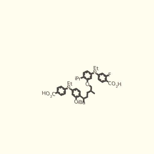 CCN(c1ccc(C(=O)O)c(F)c1)c1ccc(C(C)C)c(OCC(C)CCC(C)c2ccc(N(CC)c3ccc(C(=O)O)cc3)cc2OCC(C)C)c1